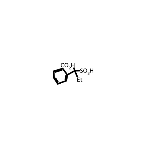 CCC(C(=O)O)(c1ccccc1)S(=O)(=O)O